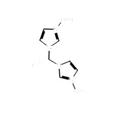 CCCC[n+]1ccn(Cn2cc[n+](CCCC)c2)c1.[I-].[I-]